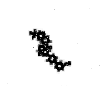 N#Cc1cccc(C2=CCN([C@H]3C[C@H]4CCC[C@@]4(C(=O)N4CCc5ncc(C(F)(F)F)cc5C4)C3)CC2)c1